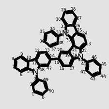 c1ccc(-n2c3ccccc3c3ccc(-c4ccc5c(c4)c4c(ccc6c7ccccc7n(-c7ccccc7)c64)n5-c4ccccc4)cc32)cc1